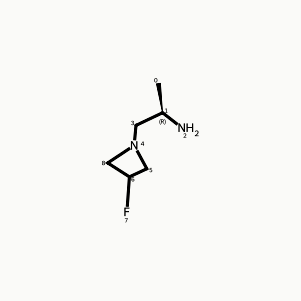 C[C@@H](N)CN1CC(F)C1